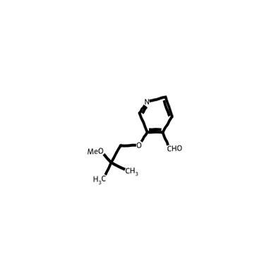 COC(C)(C)COc1cnccc1C=O